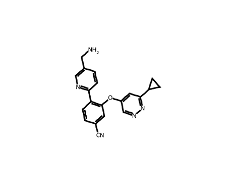 N#Cc1ccc(-c2ccc(CN)cn2)c(Oc2cnnc(C3CC3)c2)c1